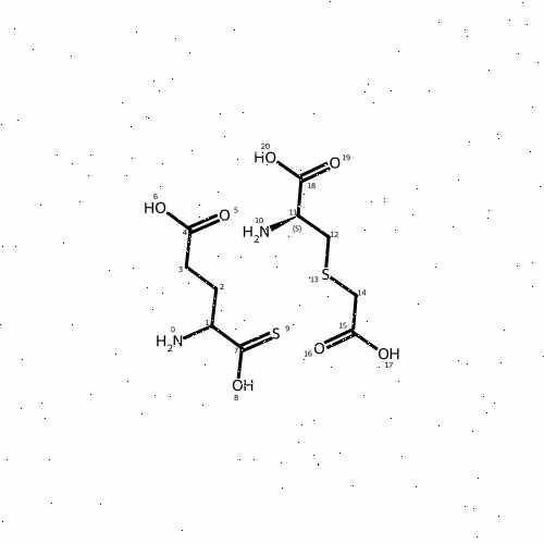 NC(CCC(=O)O)C(O)=S.N[C@H](CSCC(=O)O)C(=O)O